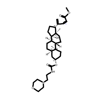 C=C(/C=C\C(=O)OC)[C@H]1CC[C@]2(O)[C@@H]3CC[C@@H]4C[C@@H](OC(=O)NCCN5CCOCC5)CC[C@]4(C)[C@H]3CC[C@]12C